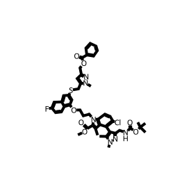 COC(=O)c1c(C)c2c(-c3c(CNC(=O)OC(C)(C)C)nn(C)c3C)c(Cl)ccc2n1CCCOc1cc(SCc2cc(COC(=O)c3ccccc3)nn2C)cc2cc(F)ccc12